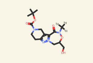 [2H]C([2H])([2H])N1OC(CO)Cn2nc3c(c2C1=O)CN(C(=O)OC(C)(C)C)CC3